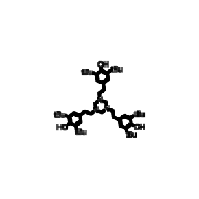 CC(C)(C)c1cc(CCN2CN(CCc3cc(C(C)(C)C)c(O)c(C(C)(C)C)c3)CN(CCc3cc(C(C)(C)C)c(O)c(C(C)(C)C)c3)C2)cc(C(C)(C)C)c1O